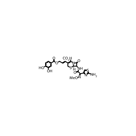 CO/N=C(\C(=O)NC1C(=O)N2C(C(=O)O)=C(/C=C/COC(=O)c3ccc(O)c(O)c3)CS[C@H]12)c1csc(N)n1